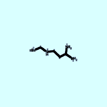 CCCCCNCCC(N)N